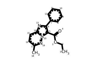 CCOC(=O)c1c(-c2ccccc2)nc2ccc(C)nn12